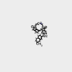 CN1CCc2ccc(Nc3ncc4c(=O)n5n(c4n3)-c3ccc4c(c3)N(CCC/C=C\C5)C(=O)C4)cc2C1